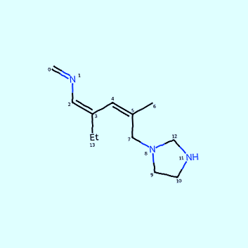 C=N/C=C(\C=C(\C)CN1CCNC1)CC